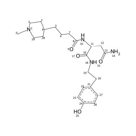 CN1CCC(CCCC(=O)N[C@H](CC(N)=O)C(=O)NCCc2ccc(O)cc2)CC1